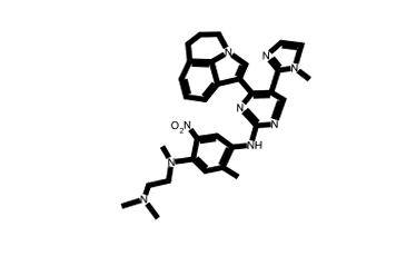 Cc1cc(N(C)CCN(C)C)c([N+](=O)[O-])cc1Nc1ncc(-c2nccn2C)c(-c2cn3c4c(cccc24)CCC3)n1